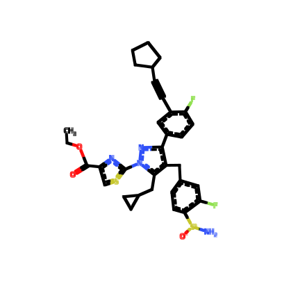 CCOC(=O)c1csc(-n2nc(-c3ccc(F)c(C#CC4CCCC4)c3)c(Cc3ccc([S+](N)[O-])c(F)c3)c2CC2CC2)n1